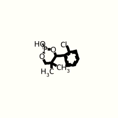 CC1(C)CO[P@@](O)OC1c1ccccc1Cl